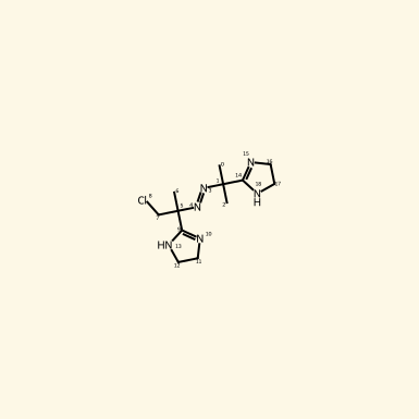 CC(C)(N=NC(C)(CCl)C1=NCCN1)C1=NCCN1